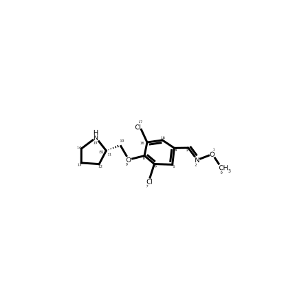 CON=Cc1cc(Cl)c(OC[C@@H]2CCCN2)c(Cl)c1